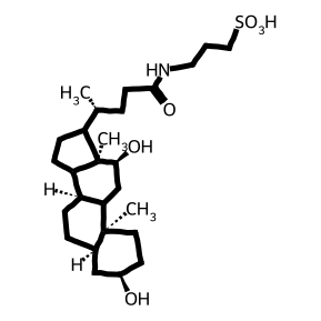 C[C@H](CCC(=O)NCCCS(=O)(=O)O)C1CCC2[C@@H]3CC[C@@H]4C[C@H](O)CC[C@]4(C)C3C[C@H](O)[C@@]21C